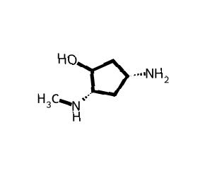 CN[C@H]1C[C@@H](N)CC1O